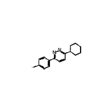 [CH2]c1ccc(-c2ccc(C3CCCCC3)nn2)cc1